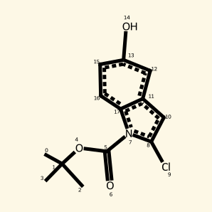 CC(C)(C)OC(=O)n1c(Cl)cc2cc(O)ccc21